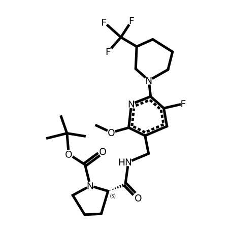 COc1nc(N2CCCC(C(F)(F)F)C2)c(F)cc1CNC(=O)[C@@H]1CCCN1C(=O)OC(C)(C)C